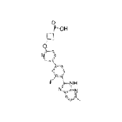 Cc1ccc2nc(-c3ccc(-c4ccc(O[C@H]5C[C@H](C(=O)O)C5)nc4)cc3F)[nH]c2n1